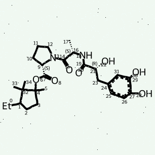 CCC1CCC(C)(OC(=O)[C@@H]2CCCN2C(=O)[C@H](C)NC(=O)[C@H](O)Cc2ccc(O)c(O)c2)C1(C)C